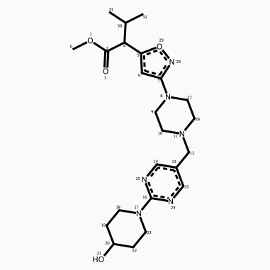 COC(=O)C(c1cc(N2CCN(Cc3cnc(N4CCC(O)CC4)nc3)CC2)no1)C(C)C